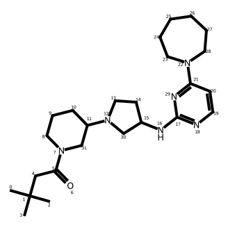 CC(C)(C)CC(=O)N1CCCC(N2CCC(Nc3nccc(N4CCCCCC4)n3)C2)C1